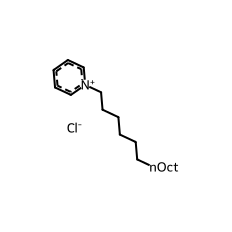 CCCCCCCCCCCCCC[n+]1ccccc1.[Cl-]